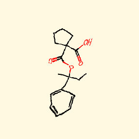 CCC(C)(OC(=O)C1(C(=O)O)CCCC1)c1ccccc1